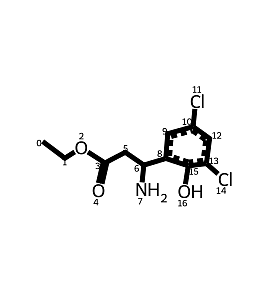 CCOC(=O)CC(N)c1cc(Cl)cc(Cl)c1O